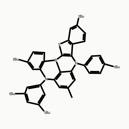 Cc1cc2c3c(c1)N(c1ccc(C(C)(C)C)cc1)c1c(sc4cc(C(C)(C)C)ccc14)B3c1ccc(C(C)(C)C)cc1N2c1cc(C(C)(C)C)cc(C(C)(C)C)c1